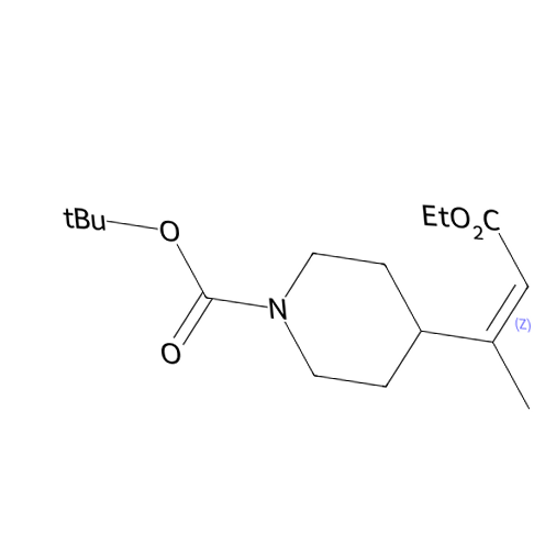 CCOC(=O)/C=C(/C)C1CCN(C(=O)OC(C)(C)C)CC1